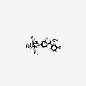 CC1(C)OB(c2ccn(C(CO)c3cccc(Cl)c3)c(=O)c2)OC1(C)C